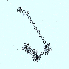 CC[C@H](C)[C@@H]([C@@H](CC(=O)N1CCC[C@H]1[C@H](OC)[C@@H](C)C(=O)N[C@H](C)[C@@H](O)c1ccccc1)OC)N(C)C(=O)[C@@H](NC(=O)[C@H](C(C)C)N(C)C(=O)OCc1ccc(NC(=O)[C@H](C)NC(=O)[C@@H](NC(=O)CCOCCOCCOCCOCCOCCOCCOCCOCCNC(=O)c2ccc(-c3nncnn3)cc2)C(C)C)cc1)C(C)C